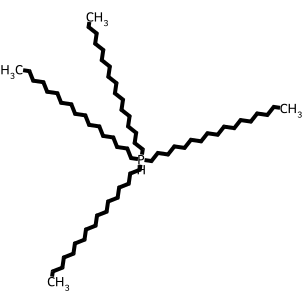 CCCCCCCCCCCCCCCCC[PH](CCCCCCCCCCCCCCCCC)(CCCCCCCCCCCCCCCCC)CCCCCCCCCCCCCCCCC